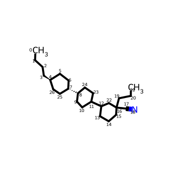 CCCC[C@H]1CC[C@H](C2CCC(C3CCCC(C#N)(CCC)C3)CC2)CC1